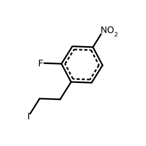 O=[N+]([O-])c1ccc(CCI)c(F)c1